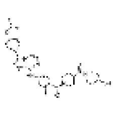 Cc1cc(Nc2nccn3c(-c4ccc(OC(F)F)cc4)cnc23)ccc1C(=O)N1CCC(C(=O)N2CCC(O)CC2)CC1